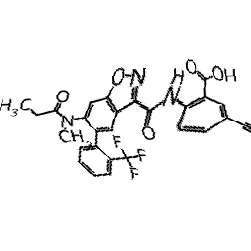 CCC(=O)N(C)c1cc2onc(C(=O)Nc3ccc(C#N)cc3C(=O)O)c2cc1-c1ccccc1C(F)(F)F